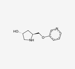 O[C@H]1CN[C@H](COc2cccnc2)C1